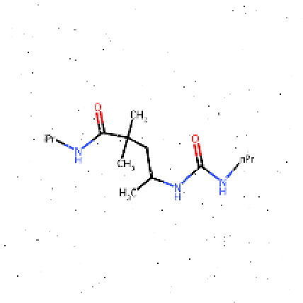 CCCNC(=O)NC(C)CC(C)(C)C(=O)NC(C)C